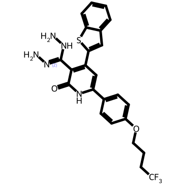 N/N=C(\NN)c1c(-c2cc3ccccc3s2)cc(-c2ccc(OCCCC(F)(F)F)cc2)[nH]c1=O